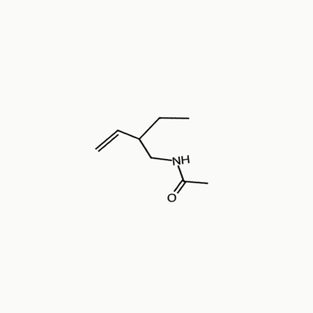 C=CC(CC)CNC(C)=O